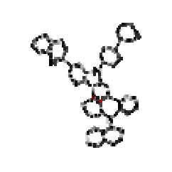 c1ccc(-c2ccc(-n3c4cc(-c5ccc6ccccc6n5)ccc4c4ccc(-c5ccccc5N(c5ccccc5)c5cccc6ccccc56)cc43)cc2)cc1